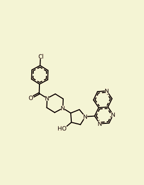 O=C(c1ccc(Cl)cc1)N1CCN(C2CN(c3ncnc4cnccc34)CC2O)CC1